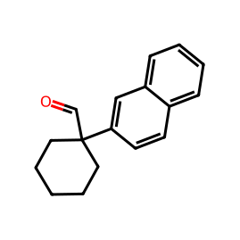 O=CC1(c2ccc3ccccc3c2)CCCCC1